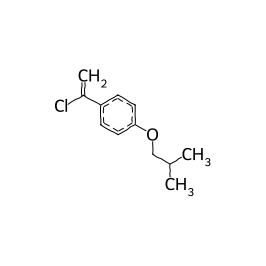 C=C(Cl)c1ccc(OCC(C)C)cc1